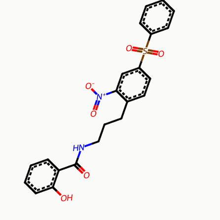 O=C(NCCCc1ccc(S(=O)(=O)c2ccccc2)cc1[N+](=O)[O-])c1ccccc1O